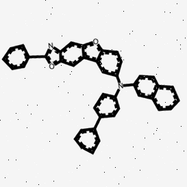 c1ccc(-c2ccc(N(c3ccc4ccccc4c3)c3ccc4oc5cc6nc(-c7ccccc7)oc6cc5c4c3)cc2)cc1